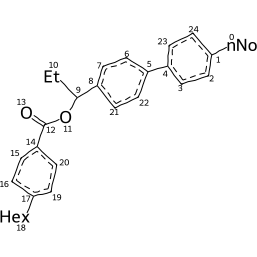 CCCCCCCCCc1ccc(-c2ccc(C(CC)OC(=O)c3ccc(CCCCCC)cc3)cc2)cc1